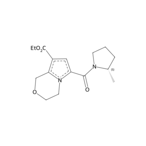 CCOC(=O)c1cc(C(=O)N2CCC[C@@H]2C)n2c1COCC2